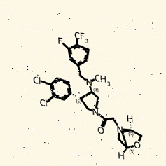 CN(Cc1ccc(C(F)(F)F)c(F)c1)[C@H]1CN(C(=O)CN2C[C@@H]3C[C@@H]2CO3)C[C@@H]1c1ccc(Cl)c(Cl)c1